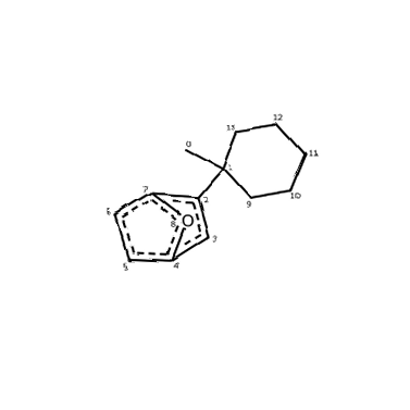 CC1(c2cc3ccc2o3)CCCCC1